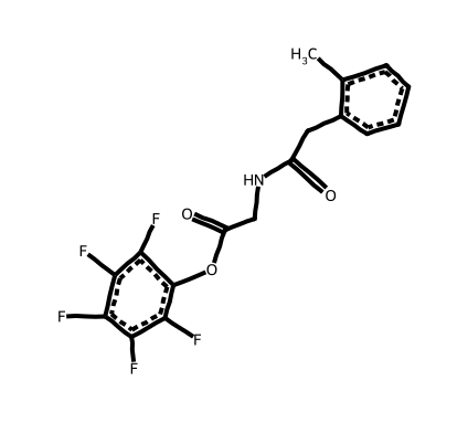 Cc1ccccc1CC(=O)NCC(=O)Oc1c(F)c(F)c(F)c(F)c1F